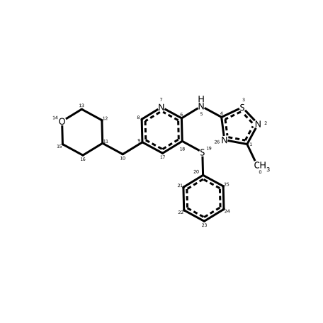 Cc1nsc(Nc2ncc(CC3CCOCC3)cc2Sc2ccccc2)n1